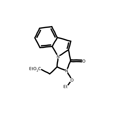 CCOC(=O)CC1N(OCC)C(=O)c2cc3ccccc3n21